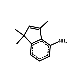 CC1=CC(C)(C)c2cccc(N)c21